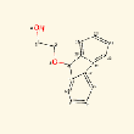 OCCOC1c2ccccc2-c2ccccc21